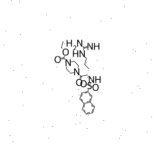 CCOC(=O)N1CCN(C(=O)[C@H](CCCNC(=N)N)NS(=O)(=O)c2ccc3ccccc3c2)CC1